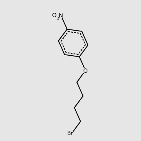 O=[N+]([O-])c1ccc(OCCCCBr)cc1